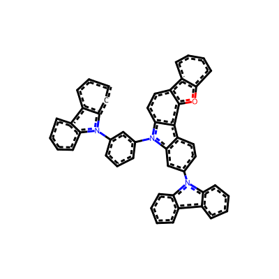 c1cc(-n2c3ccccc3c3ccccc32)cc(-n2c3cc(-n4c5ccccc5c5ccccc54)ccc3c3c4oc5ccccc5c4ccc32)c1